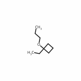 CCCOC1(CC)CCC1